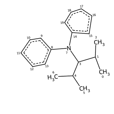 CC(C)C(C(C)C)N(c1ccccc1)c1ccccc1